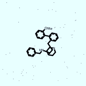 COc1ccccc1-c1ccccc1CC1C(NCc2ccccc2)C2CCN1CC2